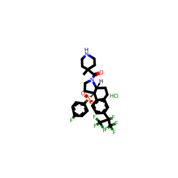 CC1(C(=O)N2CC[C@@]3(S(=O)(=O)c4ccc(F)cc4)c4ccc(C(F)(C(F)(F)F)C(F)(F)F)cc4CC[C@@H]23)CCNCC1.Cl